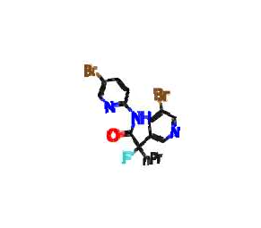 CCCC(F)(C(=O)Nc1ccc(Br)cn1)c1cncc(Br)c1